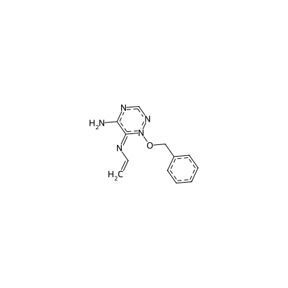 C=C/N=c1/c(N)ncnn1OCc1ccccc1